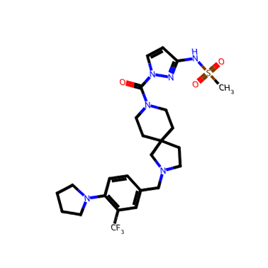 CS(=O)(=O)Nc1ccn(C(=O)N2CCC3(CCN(Cc4ccc(N5CCCC5)c(C(F)(F)F)c4)C3)CC2)n1